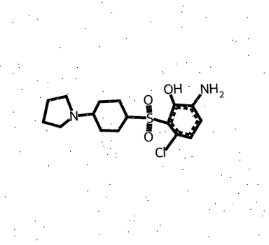 Nc1ccc(Cl)c(S(=O)(=O)C2CCC(N3CCCC3)CC2)c1O